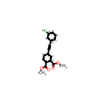 COC(=O)c1ccc(C#Cc2cccc(F)c2)cc1C(=O)OC